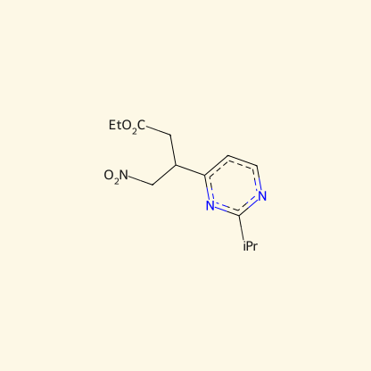 CCOC(=O)CC(C[N+](=O)[O-])c1ccnc(C(C)C)n1